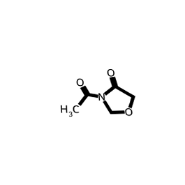 CC(=O)N1COCC1=O